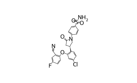 N#Cc1cc(F)ccc1Oc1cc(Cl)ccc1[C@H]1CC(=O)N(c2ccc(S(N)(=O)=O)cc2)C1